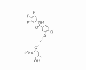 CCCC(C)C(CC(C)CO)OCCCCSc1cc(C(=O)Nc2cc(F)c(F)c(F)c2)ccc1Cl